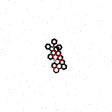 c1ccc(C2(c3ccccc3)c3ccccc3-c3ccc(-c4ccccc4N(c4ccccc4-c4cccc5ccccc45)c4ccccc4-c4cccc5cccc(C6CCCCC6)c45)cc32)cc1